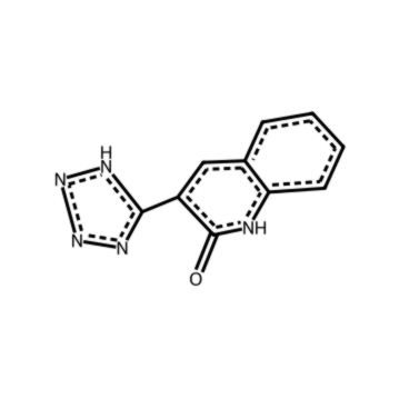 O=c1[nH]c2ccccc2cc1-c1nnn[nH]1